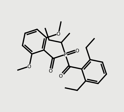 CCc1cccc(CC)c1C(=O)P(=O)(C(=O)c1c(OC)cccc1OC)C(C)CC